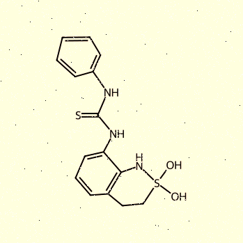 OS1(O)CCc2cccc(NC(=S)Nc3ccccc3)c2N1